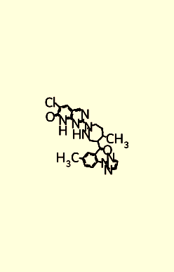 Cc1ccc(-n2nccn2)c(C(=O)C2CNN(c3ncc4cc(Cl)c(=O)[nH]c4n3)CC[C@H]2C)c1